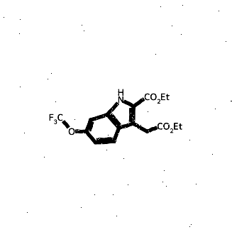 CCOC(=O)Cc1c(C(=O)OCC)[nH]c2cc(OC(F)(F)F)ccc12